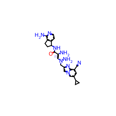 N#Cc1cc(C2CC2)cn2cc(CN(N)/C=C(\N)C(=O)NC3CCc4c3ccnc4N)nc12